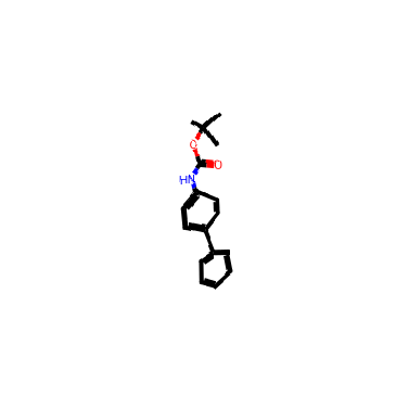 CC(C)(C)OC(=O)Nc1ccc(-c2cc[c]cc2)cc1